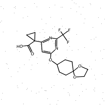 O=C(O)C1(c2cc(OC3CCC4(CC3)OCCO4)nc(C(F)(F)F)n2)CC1